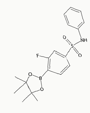 CC1(C)OB(c2ccc(S(=O)(=O)Nc3ccccc3)cc2F)OC1(C)C